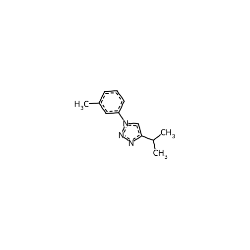 Cc1cccc(-n2cc(C(C)C)nn2)c1